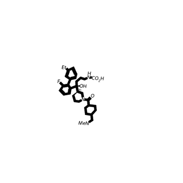 CCc1cccc(-c2c(F)cccc2[C@](O)(CCCNC(=O)O)[C@@H]2CCCN(C(=O)C3CCC(CNC)CC3)C2)c1